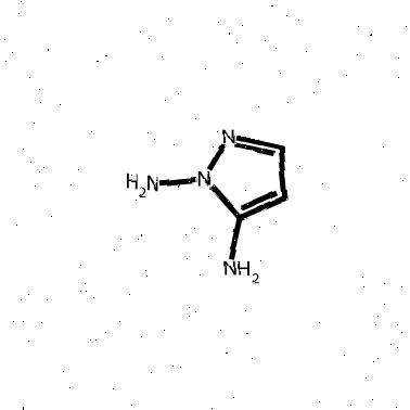 Nc1ccnn1N